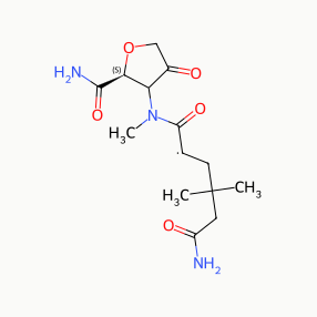 CN(C(=O)[CH]CC(C)(C)CC(N)=O)C1C(=O)CO[C@@H]1C(N)=O